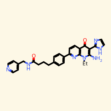 CCn1c(N)c(-c2ncc[nH]2)c(=O)c2ccc(-c3ccc(CCCC(=O)NCc4ccncc4)cc3)nc21